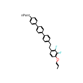 C/C=C/Oc1ccc(CCc2ccc(-c3ccc(-c4ccc(CCCCC)cc4)cc3)cc2)c(F)c1F